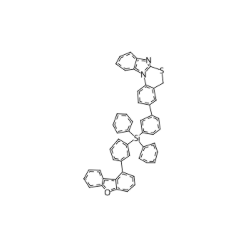 c1ccc([Si](c2ccccc2)(c2cccc(-c3ccc4c(c3)CSc3nc5ccccc5n3-4)c2)c2cccc(-c3cccc4oc5ccccc5c34)c2)cc1